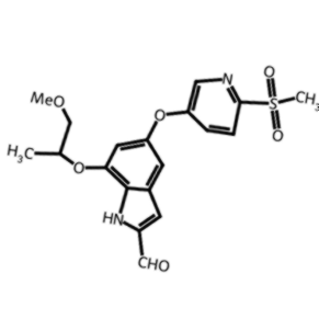 COCC(C)Oc1cc(Oc2ccc(S(C)(=O)=O)nc2)cc2cc(C=O)[nH]c12